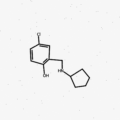 Oc1ccc(Cl)cc1CNC1CCCC1